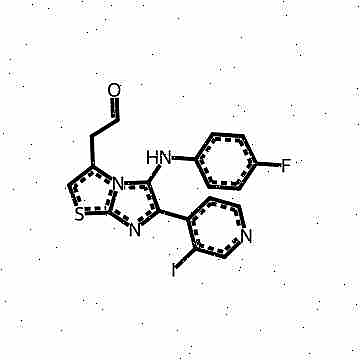 O=CCc1csc2nc(-c3ccncc3I)c(Nc3ccc(F)cc3)n12